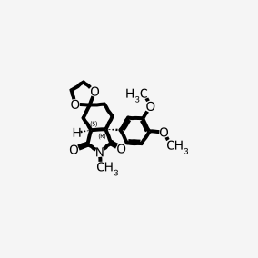 COc1ccc([C@@]23CCC4(C[C@@H]2C(=O)N(C)C3=O)OCCO4)cc1OC